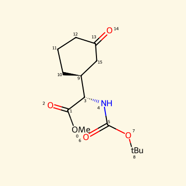 COC(=O)[C@@H](NC(=O)OC(C)(C)C)[C@H]1CCCC(=O)C1